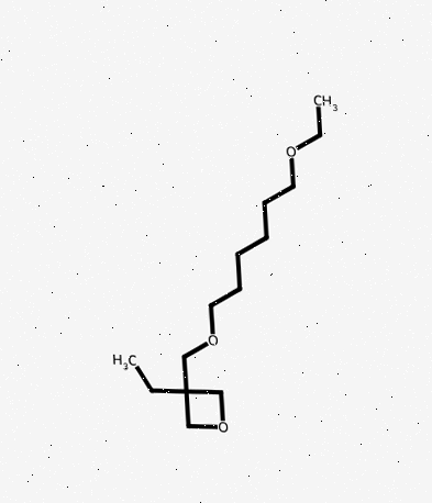 CCOCCCCCCOCC1(CC)COC1